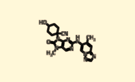 Cc1cc2ncnn2cc1Nc1ncc2c(n1)n(C1(C#N)CCC(O)CC1)c(=O)n2C